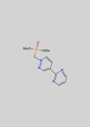 COP(=O)(C[n+]1ccc(-c2ncccn2)cn1)OC